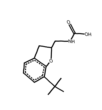 CC(C)(C)c1cccc2c1OC(CNC(=O)O)C2